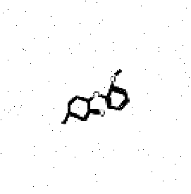 COc1ccccc1OC1CCC(C)CC1=O